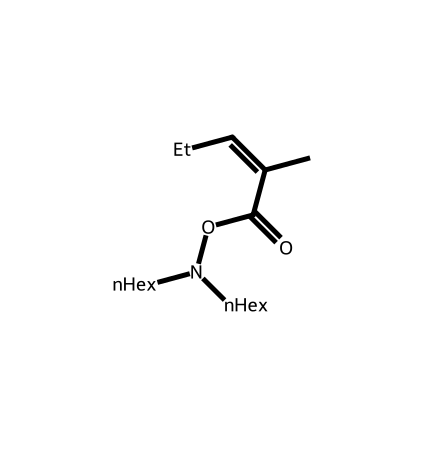 CCC=C(C)C(=O)ON(CCCCCC)CCCCCC